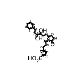 C[C@@H](CCc1ccccc1)[C@H](O)CC[C@H]1CCC(=O)N1CCCc1ccc(C(=O)O)s1